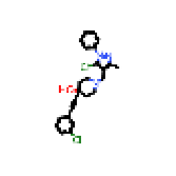 Cc1nn(-c2ccccc2)c(Cl)c1CN1CCC(O)(C#Cc2cccc(Cl)c2)CC1